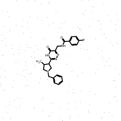 CC1CN(Cc2ccccc2)CC1c1nnc(CNC(=O)c2ccc(F)cc2)c(=O)[nH]1